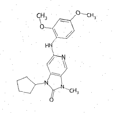 COc1ccc(Nc2cc3c(cn2)n(C)c(=O)n3C2CCCC2)c(OC)c1